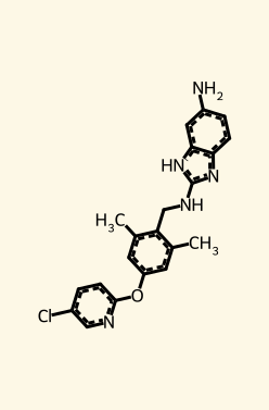 Cc1cc(Oc2ccc(Cl)cn2)cc(C)c1CNc1nc2ccc(N)cc2[nH]1